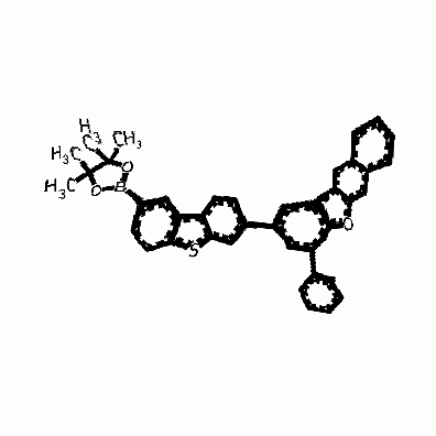 CC1(C)OB(c2ccc3sc4cc(-c5cc(-c6ccccc6)c6oc7cc8ccccc8cc7c6c5)ccc4c3c2)OC1(C)C